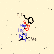 COc1nc(C)nc(NC(=O)NS(=O)(=O)c2ccccc2CCC(F)(F)F)n1